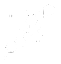 CCOC(=O)COCC12CN(S(=O)(=O)c3ccc4cc(Cl)ccc4c3)CC(=O)N1CC1(CCNCC1)O2.Cl